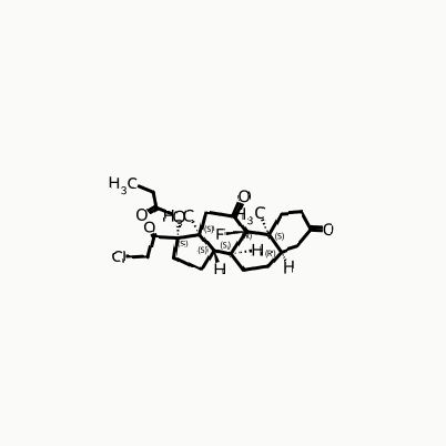 CCC(=O)O[C@@]1(C(=O)CCl)CC[C@H]2[C@@H]3CC[C@@H]4CC(=O)CC[C@]4(C)[C@@]3(F)C(=O)C[C@@]21C